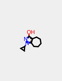 Oc1nn(C2CC2)c2c1CCCCC2